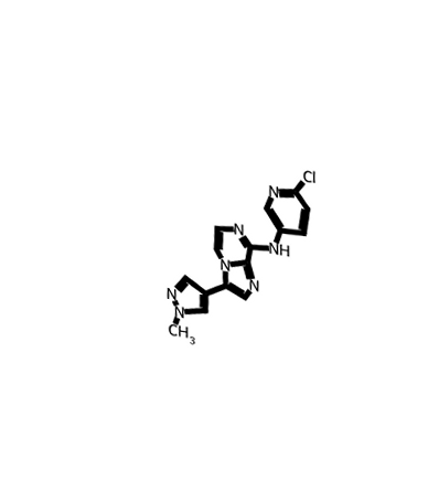 Cn1cc(-c2cnc3c(Nc4ccc(Cl)nc4)nccn23)cn1